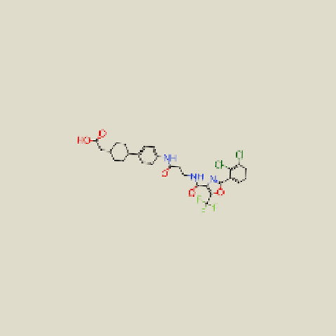 O=C(O)CC1CCC(c2ccc(NC(=O)CCNC(=O)c3nc(-c4cccc(Cl)c4Cl)oc3C(F)(F)F)cc2)CC1